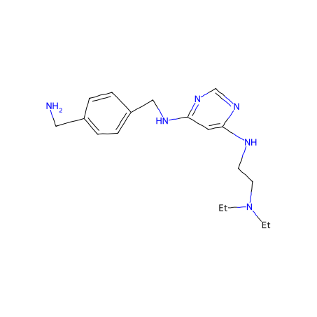 CCN(CC)CCNc1cc(NCc2ccc(CN)cc2)ncn1